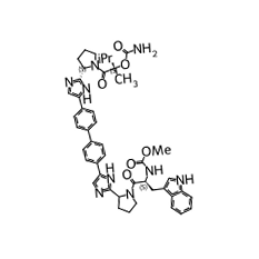 COC(=O)N[C@@H](Cc1c[nH]c2ccccc12)C(=O)N1CCCC1c1ncc(-c2ccc(-c3ccc(-c4cnc([C@@H]5CCCN5C(=O)[C@@](C)(OC(N)=O)C(C)C)[nH]4)cc3)cc2)[nH]1